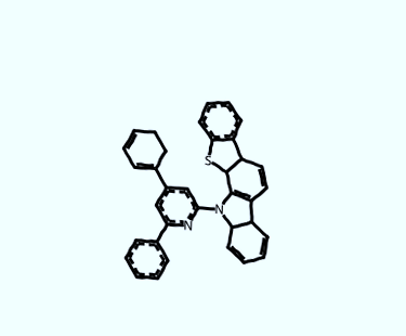 C1=CCCC(c2cc(-c3ccccc3)nc(N3C4=C(C=CC5c6ccccc6SC45)C4C=CC=CC43)c2)=C1